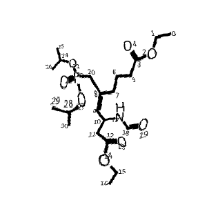 CCOC(=O)CCC/C(=C\C(CC(=O)OCC)NC=O)CP(=O)(OC(C)C)OC(C)C